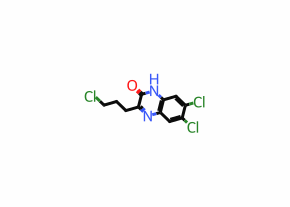 O=c1[nH]c2cc(Cl)c(Cl)cc2nc1CCCCl